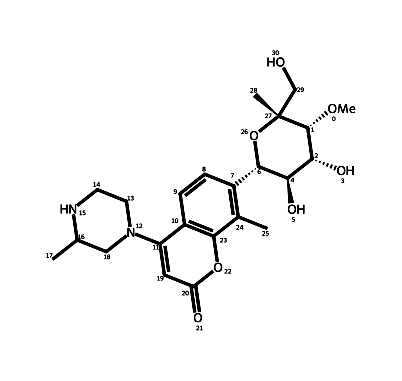 CO[C@@H]1[C@H](O)[C@@H](O)[C@H](c2ccc3c(N4CCNC(C)C4)cc(=O)oc3c2C)O[C@]1(C)CO